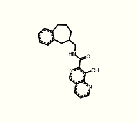 O=C(NCC1CCCc2ccccc2C1)c1ncc2cccnc2c1O